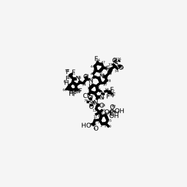 Cc1cc(CC(=O)O)c(C(C)(C)CC(=O)N(c2nn(CC(F)(F)F)c3c(-c4ccc(C#CC(C)(C)S(C)(=O)=O)nc4[C@H](Cc4cc(F)cc(F)c4)NC(=O)CC4N=C(C(F)(F)F)C5=C4C(F)(F)[C@@H]4C[C@H]54)ccc(Cl)c23)S(C)(=O)=O)c(OP(=O)(O)O)c1